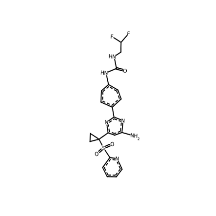 Nc1cc(C2(S(=O)(=O)c3ccccn3)CC2)nc(-c2ccc(NC(=O)NCC(F)F)cc2)n1